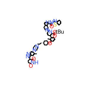 Cc1cc2c(C3CCC(=O)NC3=O)nn(C)c2cc1N1CCN(CCC[C@H]2CC[C@H](Oc3cccc(-c4ccc(N5CCc6cccc(C(=O)Nc7nc8ccccc8s7)c6C5)nc4C(=O)OC(C)(C)C)c3C)CC2)CC1